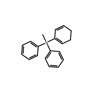 C[Si](C1=CCCC=C1)(c1ccccc1)c1ccccc1